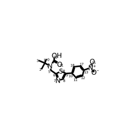 CC(C)(C)N(Cc1ncc(-c2ccc([N+](=O)[O-])cc2)s1)C(=O)O